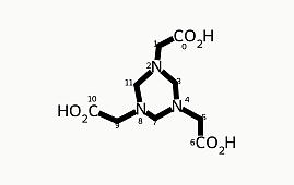 O=C(O)CN1CN(CC(=O)O)CN(CC(=O)O)C1